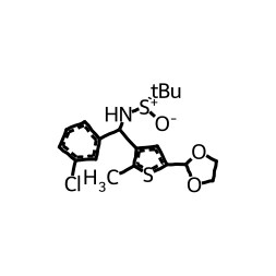 Cc1sc(C2OCCO2)cc1C(N[S+]([O-])C(C)(C)C)c1cccc(Cl)c1